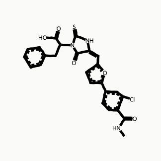 CNC(=O)c1ccc(-c2ccc(/C=C3/NC(=S)N(C(Cc4ccccc4)C(=O)O)C3=O)o2)cc1Cl